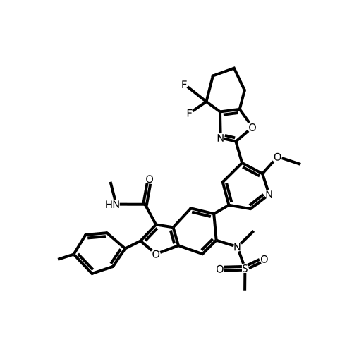 CNC(=O)c1c(-c2ccc(C)cc2)oc2cc(N(C)S(C)(=O)=O)c(-c3cnc(OC)c(-c4nc5c(o4)CCCC5(F)F)c3)cc12